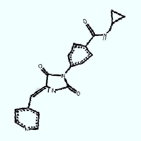 O=C(NC1CC1)c1ccc(N2C(=O)N/C(=C\c3ccncc3)C2=O)cc1